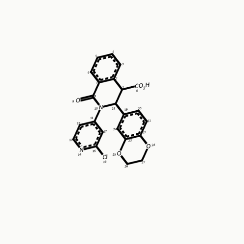 O=C(O)C1c2ccccc2C(=O)N(c2ccnc(Cl)c2)C1c1ccc2c(c1)OCCO2